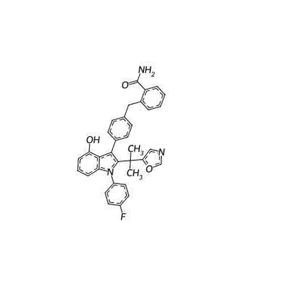 CC(C)(c1cnco1)c1c(-c2ccc(Cc3ccccc3C(N)=O)cc2)c2c(O)cccc2n1-c1ccc(F)cc1